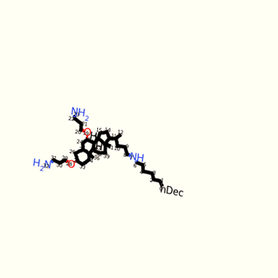 CCCCCCCCCCCCCCCCNCCCC(C)C1CC[C@H]2C3[C@H](OCCCN)CC4C[C@H](OCCCN)CCC4(C)[C@H]3CCC12C